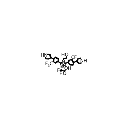 O=C(O)C(F)(F)F.OCCn1c(-c2ccc(C3=CCNCC3)c(C(F)(F)F)c2)nnc1-c1ccc(C2=CCNCC2)c(C(F)(F)F)c1